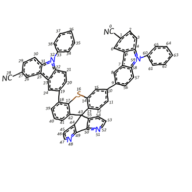 N#Cc1ccc2c(c1)c1cc(-c3ccc4c(c3)Sc3c(-c5ccc6c(c5)c5cc(C#N)ccc5n6-c5ccccc5)cccc3C43c4cccnc4-c4ncccc43)ccc1n2-c1ccccc1